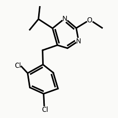 COc1ncc(Cc2ccc(Cl)cc2Cl)c(C(C)C)n1